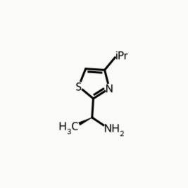 CC(C)c1csc([C@H](C)N)n1